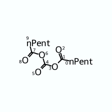 CCCCCC(=O)OC(=O)OC(=O)CCCCC